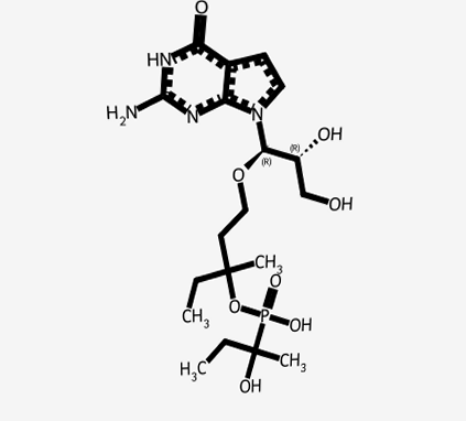 CCC(C)(CCO[C@H]([C@H](O)CO)n1ccc2c(=O)[nH]c(N)nc21)OP(=O)(O)C(C)(O)CC